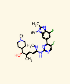 C=N/C(=C\C=C(/C)C(O)C1CCN(CC)CC1)Nc1ncc(F)c(-c2cc(F)c3nc(C)n(C(C)C)c3c2)n1